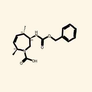 C[C@H]1C=C[C@H](C)N(C(=O)O)C[C@@H]1NC(=O)OCc1ccccc1